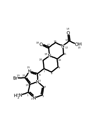 Nc1nccn2c(C3CCC4CN(C(=O)O)CC(=O)N4C3)nc(Br)c12